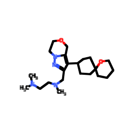 CN(C)CCN(C)Cc1nn2c(c1C1CCC3(CCCCO3)CC1)COCC2